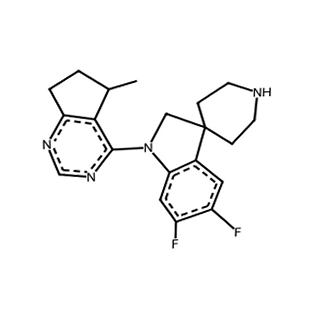 CC1CCc2ncnc(N3CC4(CCNCC4)c4cc(F)c(F)cc43)c21